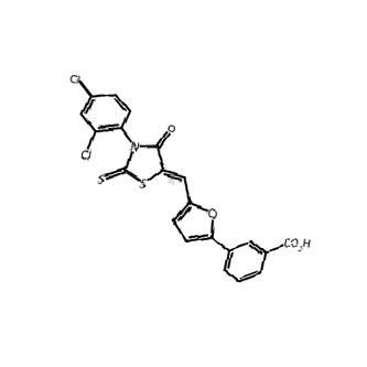 O=C(O)c1cccc(-c2ccc(/C=C3\SC(=S)N(c4ccc(Cl)cc4Cl)C3=O)o2)c1